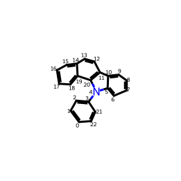 c1ccc(-n2c3ccccc3c3ccc4ccccc4c32)cc1